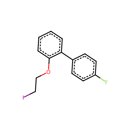 Fc1ccc(-c2ccccc2OCCI)cc1